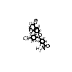 NC(=O)c1ccc([C@@H](Oc2ccc3c(c2)OCCC3=O)c2ccc(Cl)cc2)cc1